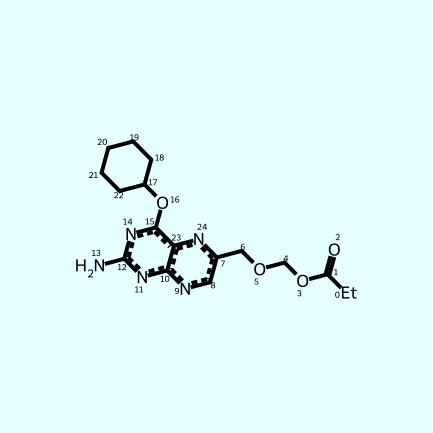 CCC(=O)OCOCc1cnc2nc(N)nc(OC3CCCCC3)c2n1